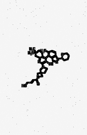 Cc1ccc2c(cnn2C2CCCCO2)c1-c1c(C#N)c(N2CCC3(CN(C(=O)C=CCO)C3)C2)nc2c1CCC(C)(C)C2